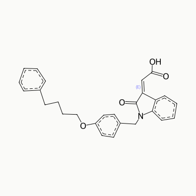 O=C(O)/C=C1/C(=O)N(Cc2ccc(OCCCCc3ccccc3)cc2)c2ccccc21